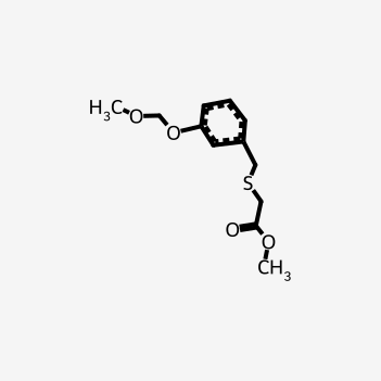 COCOc1cccc(CSCC(=O)OC)c1